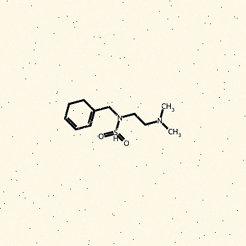 CN(C)CCN(CC1=CC=CCC1)[SH](=O)=O